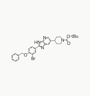 CC(C)(C)OC(=O)N1CCC(c2cnc3[nH]c(-c4ccc(OCc5ccccc5)c(Br)c4)nc3c2)CC1